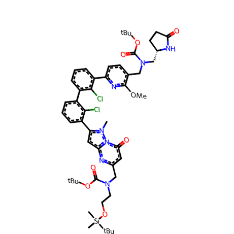 COc1nc(-c2cccc(-c3cccc(-c4cc5nc(CN(CCO[Si](C)(C)C(C)(C)C)C(=O)OC(C)(C)C)cc(=O)n5n4C)c3Cl)c2Cl)ccc1CN(C[C@@H]1CCC(=O)N1)C(=O)OC(C)(C)C